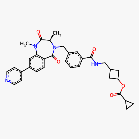 C[C@@H]1C(=O)N(C)c2cc(-c3ccncc3)ccc2C(=O)N1Cc1cccc(C(=O)NCC2CC(OC(=O)C3CC3)C2)c1